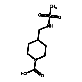 CS(=O)(=O)NCC1CCN(C(=O)O)CC1